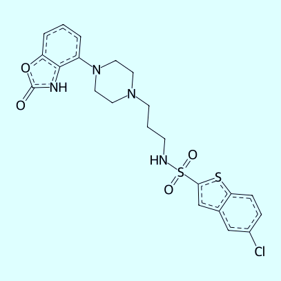 O=c1[nH]c2c(N3CCN(CCCNS(=O)(=O)c4cc5cc(Cl)ccc5s4)CC3)cccc2o1